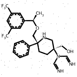 C[C@@H](OC[C@]1(c2ccccc2)CC[C@](CO)(N(C=N)C=N)CN1)c1cc(C(F)(F)F)cc(C(F)(F)F)c1